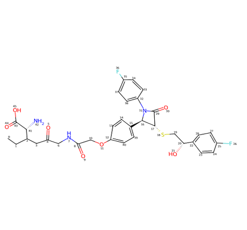 CCC(CC(=O)CNC(=O)COc1ccc([C@@H]2[C@@H](SC[C@@H](O)c3ccc(F)cc3)C(=O)N2c2ccc(F)cc2)cc1)[C@@H](N)C(=O)O